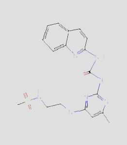 Cc1cc(NCCNS(C)(=O)=O)nc(NC(=O)Nc2ccc3ccccc3n2)n1